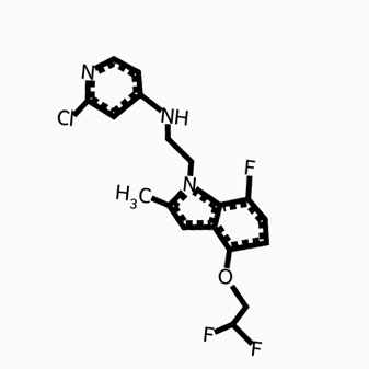 Cc1cc2c(OCC(F)F)ccc(F)c2n1CCNc1ccnc(Cl)c1